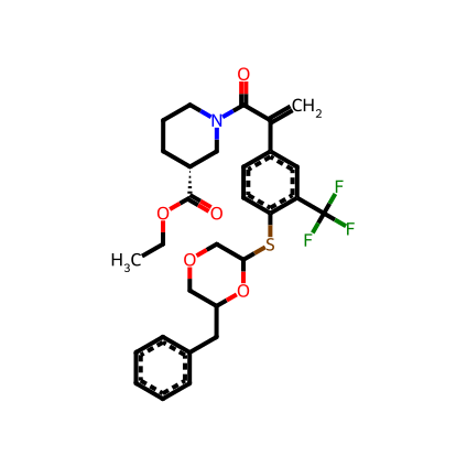 C=C(C(=O)N1CCC[C@@H](C(=O)OCC)C1)c1ccc(SC2COCC(Cc3ccccc3)O2)c(C(F)(F)F)c1